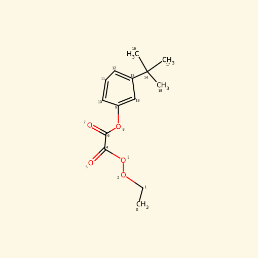 CCOOC(=O)C(=O)Oc1cccc(C(C)(C)C)c1